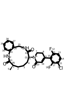 C[C@@H]1CCC[C@H](N2CCC(c3c(F)ccc(Cl)c3F)=CC2=O)C(=O)NCc2ccccc2NC1=O